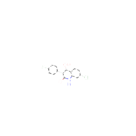 O=c1[nH]c2cc(Cl)ccc2c(O)c1-c1ccc(F)cc1